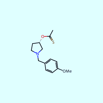 COc1ccc(CN2CC[C@H](OC(C)=S)C2)cc1